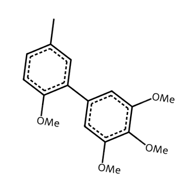 COc1ccc(C)cc1-c1cc(OC)c(OC)c(OC)c1